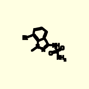 CCc1cccc2c(NS(N)(=O)=O)nn(C)c12